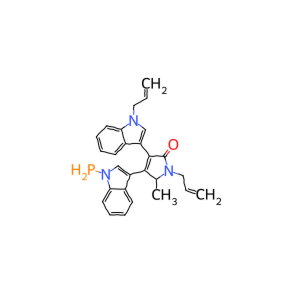 C=CCN1C(=O)C(c2cn(CC=C)c3ccccc23)=C(c2cn(P)c3ccccc23)C1C